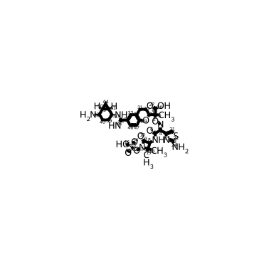 CC(ON=C(C(=O)NC1C(=O)N(OS(=O)(=O)O)C1(C)C)c1csc(N)n1)(C(=O)O)C1CCc2cc(C(=N)N[C@@H]3CC[C@@H](N)[C@@H]4C[C@@H]43)ccc2O1